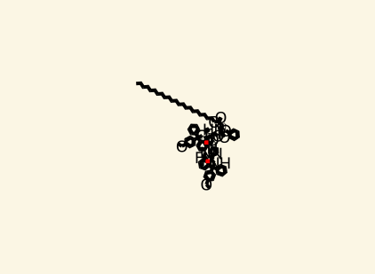 C#C[C@]1(COP(=O)(N[C@@H](C)C(=O)OCCCCCCCCCCCCCCCCCCCCCC)Oc2ccccc2)O[C@@H](n2cnc3c(NC(c4ccccc4)(c4ccccc4)c4ccc(OC)cc4)nc(F)nc32)C[C@@H]1OC(c1ccccc1)(c1ccccc1)c1ccc(OC)cc1